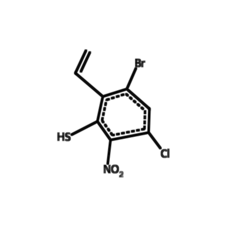 C=Cc1c(Br)cc(Cl)c([N+](=O)[O-])c1S